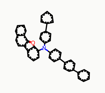 c1ccc(-c2ccc(-c3ccc(N(c4ccc(-c5ccccc5)cc4)c4cccc5c4oc4c6ccccc6ccc54)cc3)cc2)cc1